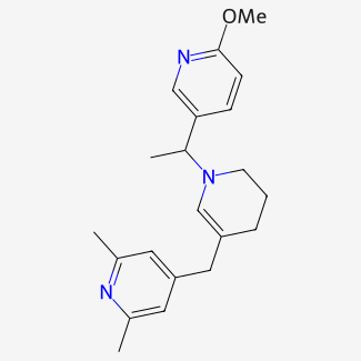 COc1ccc(C(C)N2C=C(Cc3cc(C)nc(C)c3)CCC2)cn1